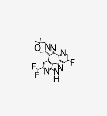 CC1(C)Cn2nc(-c3ccc(F)cn3)c(-c3cc(C(F)F)nc4[nH]ncc34)c2CO1